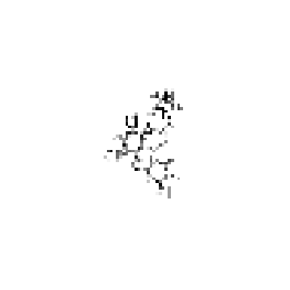 Clc1ccc(C=CC(Cn2ccnc2)Sc2cc(Cl)c(Cl)cc2Cl)cc1